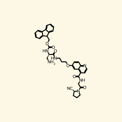 N#C[C@@H]1CCCN1C(=O)CNC(=O)c1ccnc2ccc(OCCCNC(=O)[C@@H](CN)NC(=O)OCC3c4ccccc4-c4ccccc43)cc12